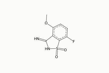 COc1ccc(F)c2c1C(=N)NS2(=O)=O